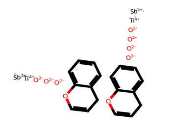 C1=COc2ccccc2C1.C1=COc2ccccc2C1.[O-2].[O-2].[O-2].[O-2].[O-2].[O-2].[O-2].[Sb+3].[Sb+3].[Ti+4].[Ti+4]